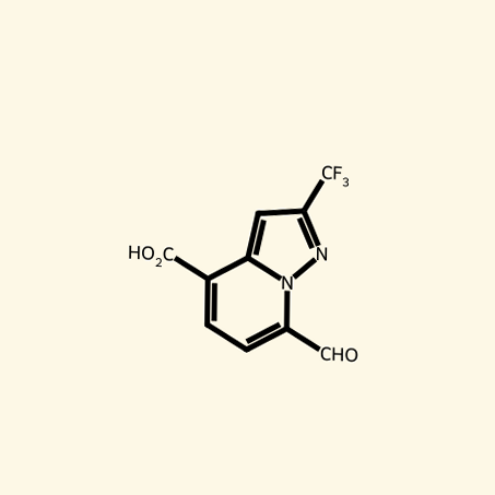 O=Cc1ccc(C(=O)O)c2cc(C(F)(F)F)nn12